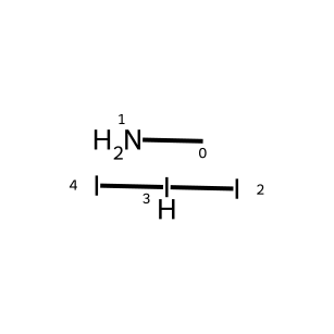 CN.I[IH]I